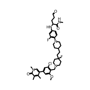 CNC(=O)C(CCC=O)Nc1ccc(N2CCC(CCC3(F)CCN(Cc4c(Cl)cc(-c5cn(C)c(=O)c(C)c5C)cc4OC)CC3)CC2)c(F)c1